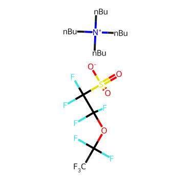 CCCC[N+](CCCC)(CCCC)CCCC.O=S(=O)([O-])C(F)(F)C(F)(F)OC(F)(F)C(F)(F)F